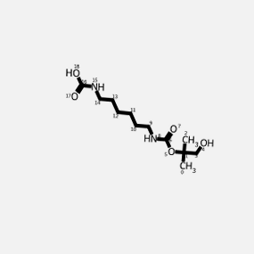 CC(C)(CO)OC(=O)NCCCCCCNC(=O)O